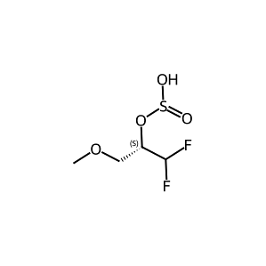 COC[C@H](OS(=O)O)C(F)F